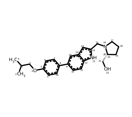 CC(C)COc1ccc(-c2ccc3[nH]c(CN4CCC[C@@H]4CO)cc3c2)cc1